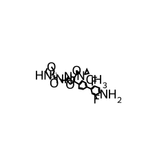 Cc1c(-c2cc(F)c(N)cc2F)ccc2c3oc(CNC(=O)[C@@H]4COCCN4)nc3c(=O)n(C3CC3)c12